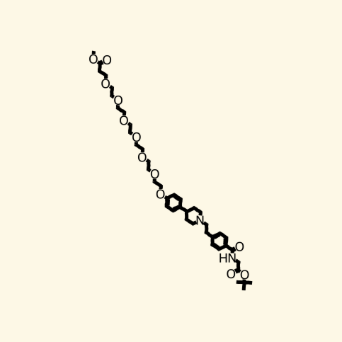 COC(=O)CCOCCOCCOCCOCCOCCOCCOc1ccc(C2CCN(CCc3ccc(C(=O)NCC(=O)OC(C)(C)C)cc3)CC2)cc1